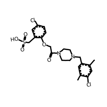 Cc1cc(CN2CCN(C(=O)COc3ccc(Cl)cc3CS(=O)(=O)O)CC2)c(C)cc1Cl